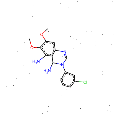 COc1cc2c(c(N)c1OC)C(N)N(c1cccc(Cl)c1)C=N2